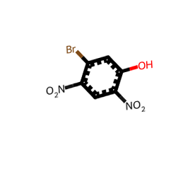 O=[N+]([O-])c1cc([N+](=O)[O-])c(Br)cc1O